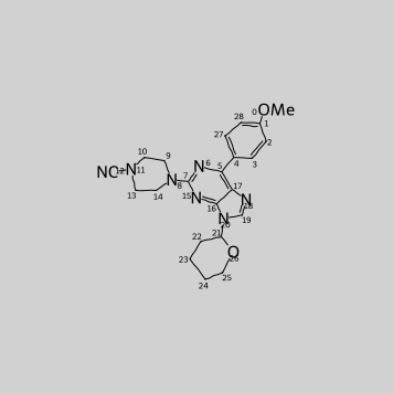 COc1ccc(-c2nc(N3CCN(C#N)CC3)nc3c2ncn3C2CCCCO2)cc1